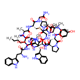 CCCC[C@@H](C(=O)N(C)[C@@H](CCCC)C(=O)N[C@@H](C)C(=O)N[C@@H](CSCC(=O)N[C@@H](Cc1ccc(O)cc1)C(=O)N(C)[C@@H](C)C(=O)N[C@@H](CCC(=O)O)C(=O)N1CCC[C@H]1C(=O)N[C@@H](Cc1cnc[nH]1)C(=O)N[C@@H](CC(C)C)C(=O)N1C[C@H](O)C[C@H]1C(C)=O)C(=O)NCC(N)=O)N(C)C(=O)[C@H](Cc1c[nH]c2ccccc12)NC(=O)[C@H](CO)NC(=O)[C@@H](N)Cc1c[nH]c2ccccc12